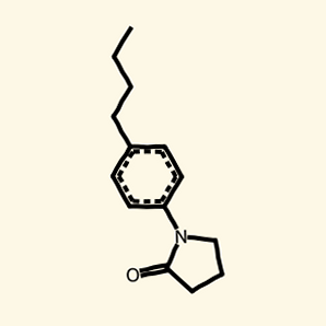 CCCCc1ccc(N2CCCC2=O)cc1